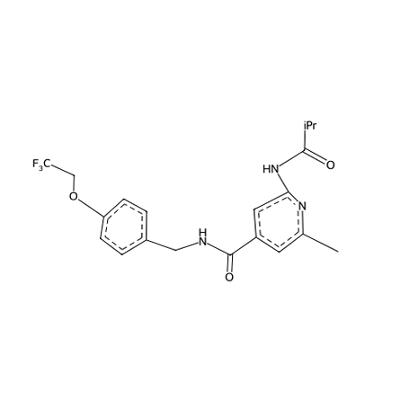 Cc1cc(C(=O)NCc2ccc(OCC(F)(F)F)cc2)cc(NC(=O)C(C)C)n1